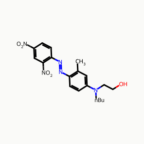 CCCCN(CCO)c1ccc(N=Nc2ccc([N+](=O)[O-])cc2[N+](=O)[O-])c(C)c1